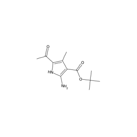 CC(=O)c1[nH]c(N)c(C(=O)OC(C)(C)C)c1C